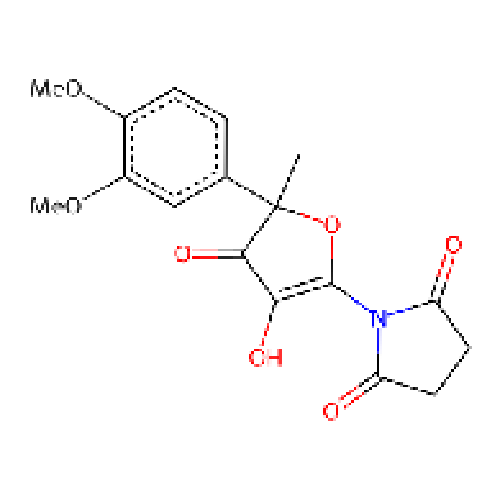 COc1ccc(C2(C)OC(N3C(=O)CCC3=O)=C(O)C2=O)cc1OC